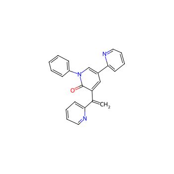 C=C(c1ccccn1)c1cc(-c2ccccn2)cn(-c2ccccc2)c1=O